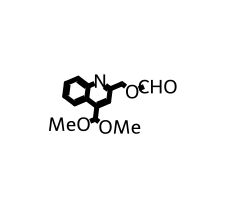 COC(OC)c1cc(COC=O)nc2ccccc12